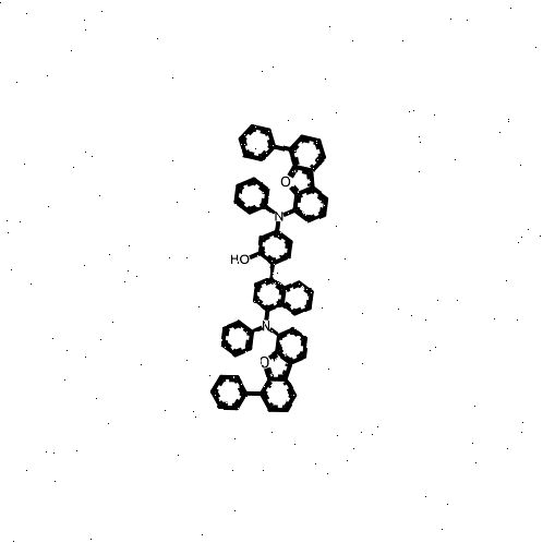 Oc1cc(N(c2ccccc2)c2cccc3c2oc2c(-c4ccccc4)cccc23)ccc1-c1ccc(N(c2ccccc2)c2cccc3c2oc2c(-c4ccccc4)cccc23)c2ccccc12